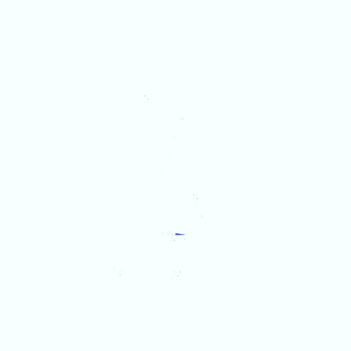 CO[C@@H](C)[C@@H](NC(=O)OC(C)(C)C)C(=O)N1CCC(C2CCN(C)CC2)CC1